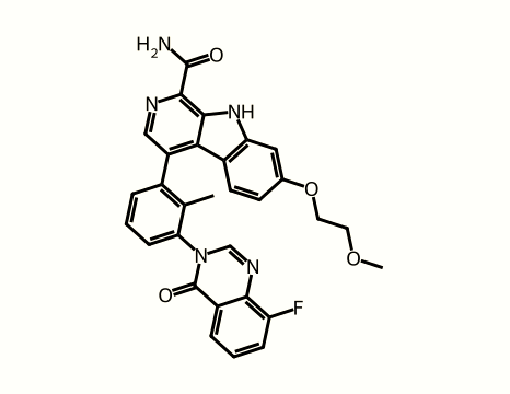 COCCOc1ccc2c(c1)[nH]c1c(C(N)=O)ncc(-c3cccc(-n4cnc5c(F)cccc5c4=O)c3C)c12